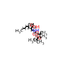 CCCC[C@H](C)C[C@H](CNC(=O)O[C@@H](OC(=O)C(C)C)C(C)C)C(=O)O